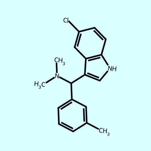 Cc1cccc(C(c2c[nH]c3ccc(Cl)cc23)N(C)C)c1